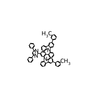 Cc1cccc(-c2ccc3c(c2)c2ccccc2n3-c2ccccc2-c2ccc(-c3nc(-c4ccccc4)cc(-c4ccccc4)n3)cc2-n2c3ccccc3c3cc(-c4cccc(C)c4)ccc32)c1